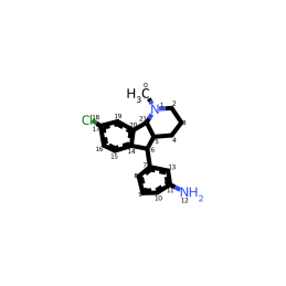 CN1CCCC2C(c3cccc(N)c3)c3ccc(Cl)cc3C21